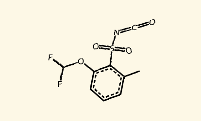 Cc1cccc(OC(F)F)c1S(=O)(=O)N=C=O